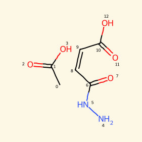 CC(=O)O.NNC(=O)/C=C\C(=O)O